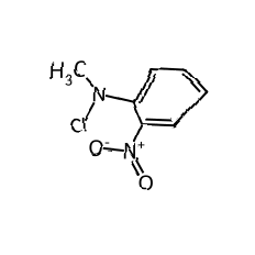 CN(Cl)c1ccccc1[N+](=O)[O-]